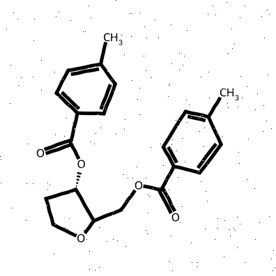 Cc1ccc(C(=O)OCC2OCC[C@@H]2OC(=O)c2ccc(C)cc2)cc1